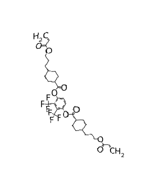 C=CC(=O)OCCCC1CCC(C(=O)Oc2ccc(OC(=O)C3CCC(CCCOC(=O)C=C)CC3)c(C(F)(F)F)c2C(F)(F)F)CC1